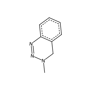 CN1Cc2ccccc2N=N1